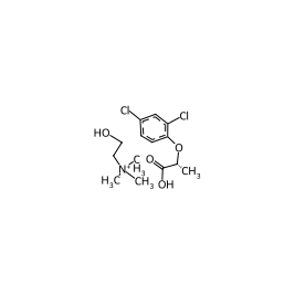 C[C@@H](Oc1ccc(Cl)cc1Cl)C(=O)O.C[N+](C)(C)CCO